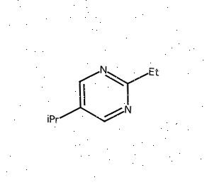 CCc1ncc(C(C)C)cn1